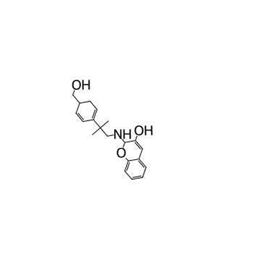 CC(C)(CNC1Oc2ccccc2C=C1O)C1=CCC(CO)C=C1